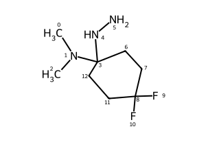 CN(C)C1(NN)CCC(F)(F)CC1